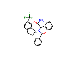 NC(=O)C(c1ccccc1)N(C(=O)c1ccccc1)[C@@H]1CCc2ccc(C(F)(F)F)cc21